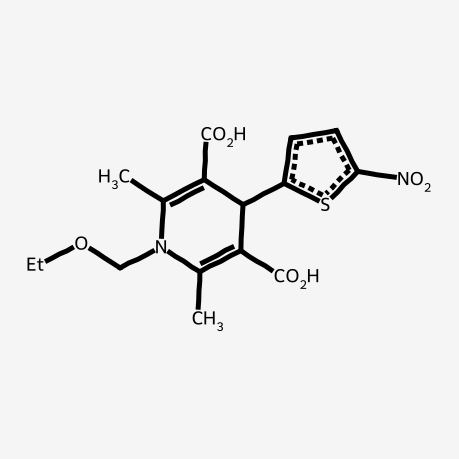 CCOCN1C(C)=C(C(=O)O)C(c2ccc([N+](=O)[O-])s2)C(C(=O)O)=C1C